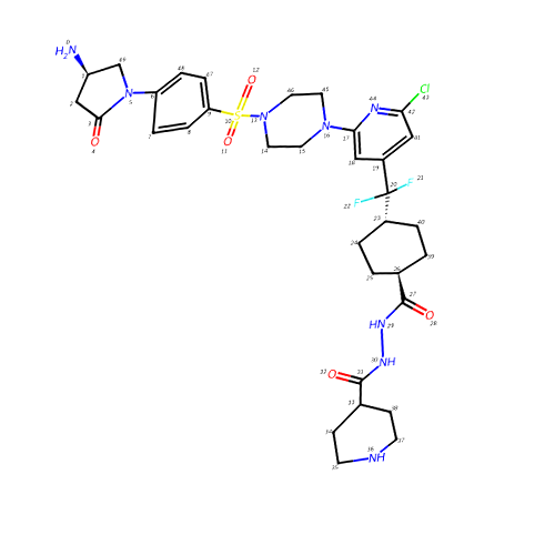 N[C@@H]1CC(=O)N(c2ccc(S(=O)(=O)N3CCN(c4cc(C(F)(F)[C@H]5CC[C@H](C(=O)NNC(=O)C6CCNCC6)CC5)cc(Cl)n4)CC3)cc2)C1